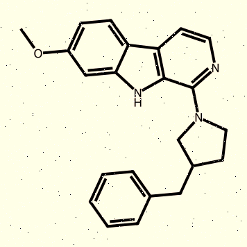 COc1ccc2c(c1)[nH]c1c(N3CCC(Cc4ccccc4)C3)nccc12